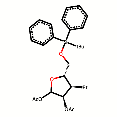 CC[C@@H]1[C@@H](CO[Si](c2ccccc2)(c2ccccc2)C(C)(C)C)OC(OC(C)=O)[C@@H]1OC(C)=O